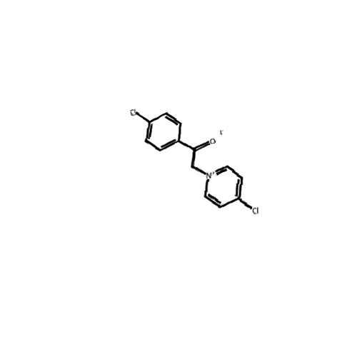 O=C(C[n+]1ccc(Cl)cc1)c1ccc(Cl)cc1.[I-]